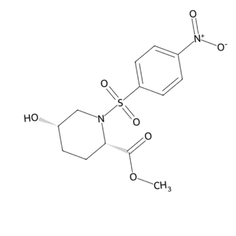 COC(=O)[C@@H]1CC[C@H](O)CN1S(=O)(=O)c1ccc([N+](=O)[O-])cc1